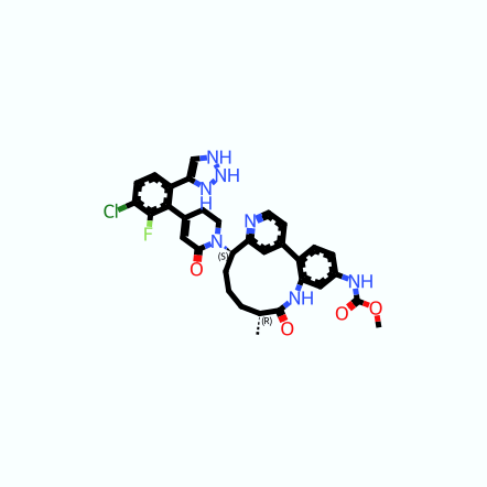 COC(=O)Nc1ccc2c(c1)NC(=O)[C@H](C)CCC[C@H](N1CCC(c3c(C4=CNNN4)ccc(Cl)c3F)=CC1=O)c1cc-2ccn1